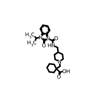 CC(C)n1c(=O)n(C(=O)NCC2CCN(CC3(C(=O)O)CCCCC3)CC2)c2ccccc21